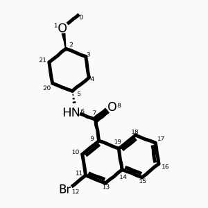 CO[C@H]1CC[C@H](NC(=O)c2cc(Br)cc3ccccc23)CC1